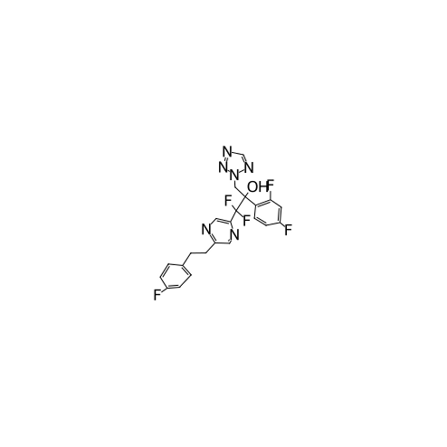 OC(Cn1ncnn1)(c1ccc(F)cc1F)C(F)(F)c1cnc(CCc2ccc(F)cc2)cn1